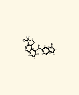 O=S1(=O)CCc2c1ccc1ncnc(Nc3ccc4cc[nH]c4c3)c21